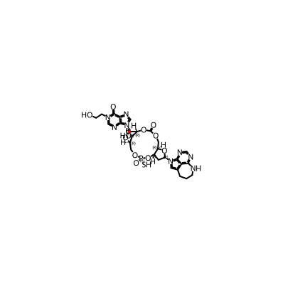 O=C1OC[C@H]2O[C@@H](n3cc4c5c(ncnc53)NCCC4)C[C@@H]2O[P@](=O)(S)OC[C@H]2O[C@@H](n3cnc4c(=O)n(CCO)cnc43)[C@H](O1)[C@@H]2O